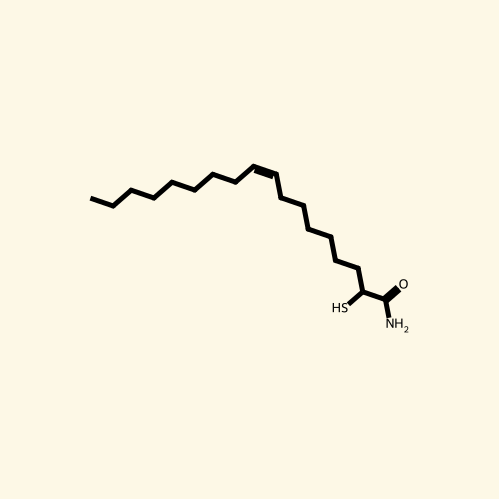 CCCCCCCC/C=C\CCCCCCC(S)C(N)=O